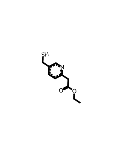 CCOC(=O)Cc1ccc(CS)cn1